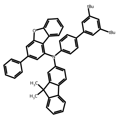 CC(C)(C)c1cc(-c2ccc(N(c3ccc4c(c3)C(C)(C)c3ccccc3-4)c3cc(-c4ccccc4)cc4oc5ccccc5c34)cc2)cc(C(C)(C)C)c1